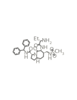 CC[C@H](N)C(=O)N[C@@H]1C(=O)N2[C@@H](CC[C@@H]1CNS(C)(=O)=O)CC[C@H]2C(=O)NC(c1ccccc1)c1ccccc1